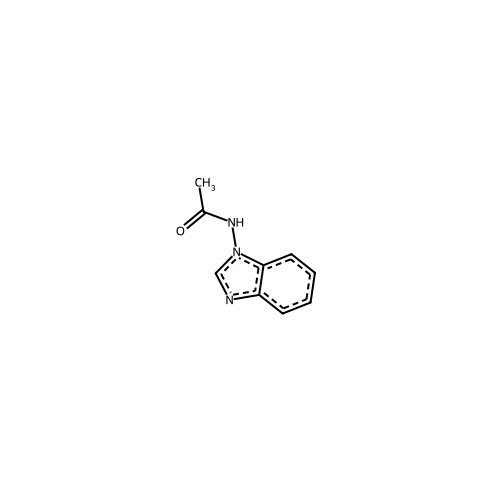 CC(=O)Nn1cnc2ccccc21